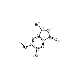 COc1cc2c(cc1Br)C(=O)OC2Br